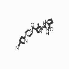 Cc1c(C(=O)N2CCN(c3ccc(C#N)cn3)CC2)cnn1-c1nn2cccc2c(=O)[nH]1